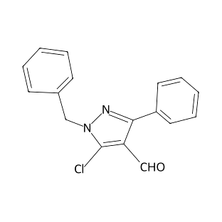 O=Cc1c(-c2ccccc2)nn(Cc2ccccc2)c1Cl